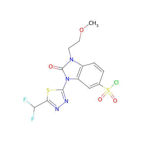 COCCn1c(=O)n(-c2nnc(C(F)F)s2)c2cc(S(=O)(=O)Cl)ccc21